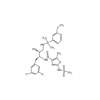 CCc1cccc(C(C)(C)NC[C@H](O)[C@H](Cc2cc(F)cc(F)c2)NC(=O)c2nc(NS(C)(=O)=O)oc2C)c1